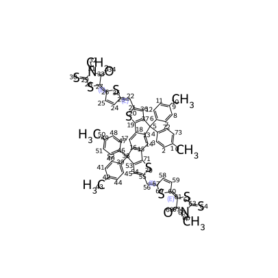 Cc1ccc(C2(c3ccc(C)cc3)c3cc4c(cc3-c3sc(/C=c5\cc/c(=C6\SC(=S)N(C)C6=O)s5)cc32)C(c2ccc(C)cc2)(c2ccc(C)cc2)c2cc(/C=c3\cc/c(=C5\SC(=S)N(C)C5=O)s3)sc2-4)cc1